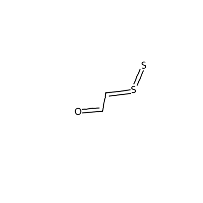 O=CC=S=S